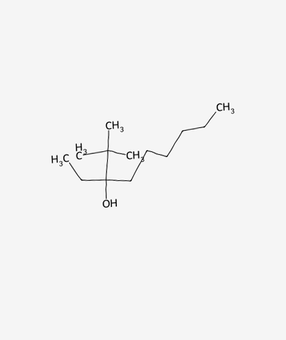 CCCCCCC(O)(CC)C(C)(C)C